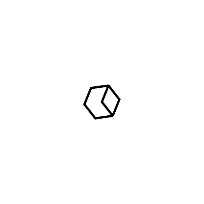 C1CC2CC(C1)C2